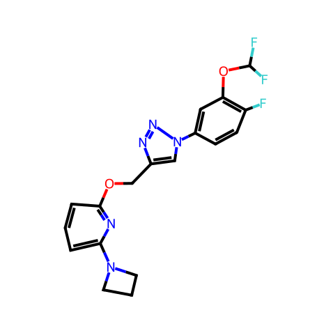 Fc1ccc(-n2cc(COc3cccc(N4CCC4)n3)nn2)cc1OC(F)F